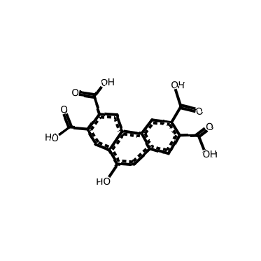 O=C(O)c1cc2cc(O)c3cc(C(=O)O)c(C(=O)O)cc3c2cc1C(=O)O